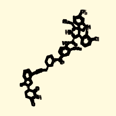 COc1cc(C(=O)N2CCC[C@@H](CC#Cc3cccc4c3CN([C@@H]3CCC(=O)NC3=O)C4=O)C2)ccc1NC(=O)[C@@H]1N[C@@H](CC(C)(C)C)[C@@]2(CNc3cc(C(F)(F)F)ncc32)[C@H]1c1cccc(Cl)c1F